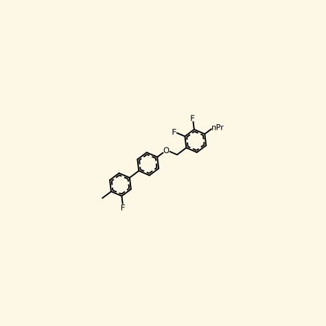 CCCc1ccc(COc2ccc(-c3ccc(C)c(F)c3)cc2)c(F)c1F